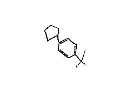 FC(F)(F)c1ccc(C2CCCC2)cc1